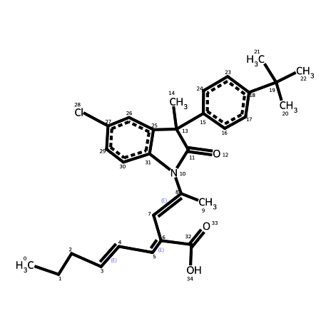 CCC/C=C/C=C(\C=C(/C)N1C(=O)C(C)(c2ccc(C(C)(C)C)cc2)c2cc(Cl)ccc21)C(=O)O